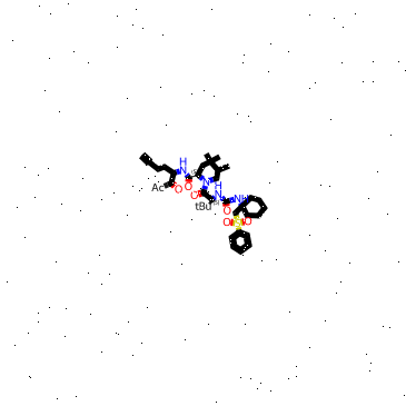 C#CCCC(NC(=O)[C@@H]1CC(C)(C)C(C)CN1C(=O)[C@@H](NC(=O)NC1(CS(=O)(=O)c2ccccc2)CCCCC1)C(C)(C)C)C(=O)C(C)=O